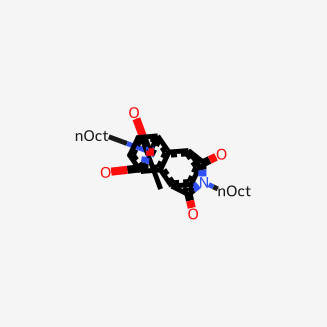 CCCCCCCCn1c(=O)c2ccc(c1=O)c1c3ccc(c(=O)n(CCCCCCCC)c3=O)c21